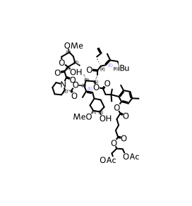 C=CC[C@H](/C=C(\C)C[C@H](C)CC)C(=O)C[C@H](OC(=O)CC(C)(C)c1c(C)cc(C)cc1OC(=O)CCCC(=O)OC(COC(C)=O)COC(C)=O)[C@@H](C)[C@H](OC(=O)[C@@H]1CCCCN1C(=O)C(=O)[C@]1(O)OC[C@@H](OC)C[C@H]1C)/C(C)=C/C1CC[C@@H](O)[C@H](OC)C1